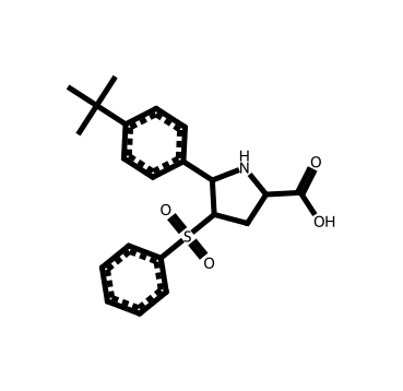 CC(C)(C)c1ccc(C2NC(C(=O)O)CC2S(=O)(=O)c2ccccc2)cc1